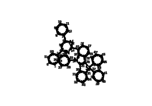 c1ccc(-c2cc(-c3ccccc3)nc(-c3cccc4c5c(n(-c6ccccc6)c34)-c3ccccc3[Si]5(c3ccccc3)c3ccccc3)n2)cc1